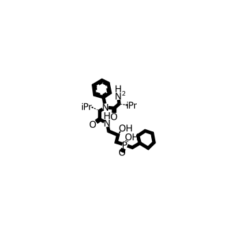 CC(C)[C@@H](C(=O)NC[C@H](O)CP(=O)(O)CC1CCCCC1)N(C(=O)[C@H](N)C(C)C)c1ccccc1